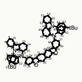 CC(C)(C)c1ccc(-n2c3ccccc3c3cccc(N(c4ccccc4)c4ccc5oc6cc7cc8oc9ccc(N(c%10ccccc%10)c%10cccc%11c%12ccccc%12n(-c%12ccc(C(C)(C)C)cc%12)c%10%11)cc9c8cc7cc6c5c4)c32)cc1